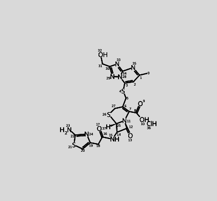 Cc1cc(SCC2=C(C(=O)O)N3C(=O)C(NC(=O)Cc4csc(N)n4)[C@@H]3SC2)n2nc(CO)nc2n1.Cl